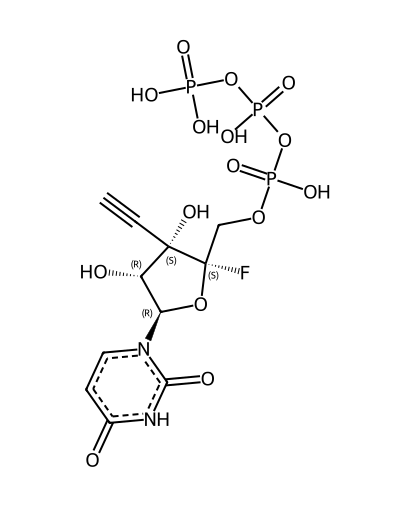 C#C[C@]1(O)[C@@H](O)[C@H](n2ccc(=O)[nH]c2=O)O[C@]1(F)COP(=O)(O)OP(=O)(O)OP(=O)(O)O